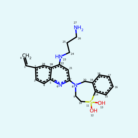 C=Cc1ccc2nc(N3CCS(O)(O)c4ccccc4C3)cc(NCCCN)c2c1